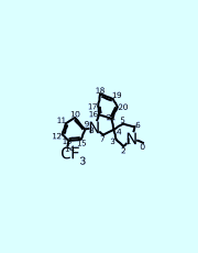 CN1CCC2(CC1)CN(c1cccc(C(F)(F)F)c1)c1ccccc12